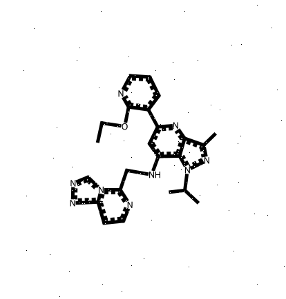 CCOc1ncccc1-c1cc(NCc2nccc3nncn23)c2c(n1)c(C)nn2C(C)C